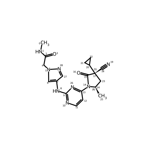 CNC(=O)Cn1cc(Nc2nccc(N3C(=O)[C@](C#N)(C4CC4)C[C@H]3C)n2)cn1